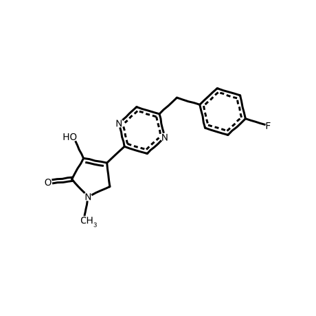 CN1CC(c2cnc(Cc3ccc(F)cc3)cn2)=C(O)C1=O